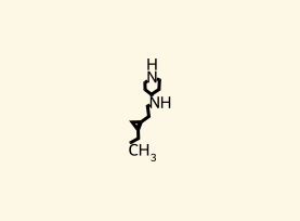 CCCC1=C(CCNC2CCNCC2)C1